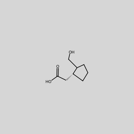 O=C(O)C[C@H]1CCCC1CO